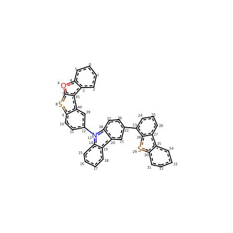 c1ccc2c(c1)oc1sc3ccc(-n4c5ccccc5c5cc(-c6cccc7c6sc6ccccc67)ccc54)cc3c12